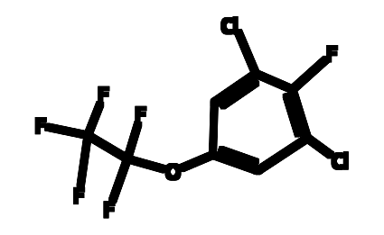 Fc1c(Cl)cc(OC(F)(F)C(F)(F)F)cc1Cl